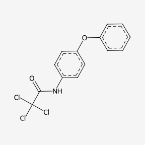 O=C(Nc1ccc(Oc2ccccc2)cc1)C(Cl)(Cl)Cl